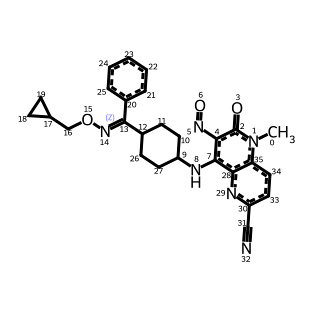 Cn1c(=O)c(N=O)c(NC2CCC(/C(=N/OCC3CC3)c3ccccc3)CC2)c2nc(C#N)ccc21